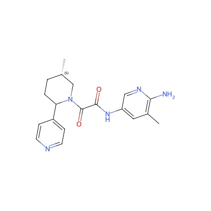 Cc1cc(NC(=O)C(=O)N2C[C@@H](C)CCC2c2ccncc2)cnc1N